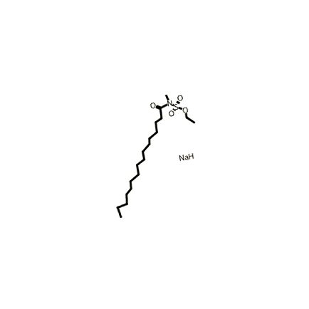 CCCCCCCCCCCCCCCC(=O)N(C)S(=O)(=O)OCC.[NaH]